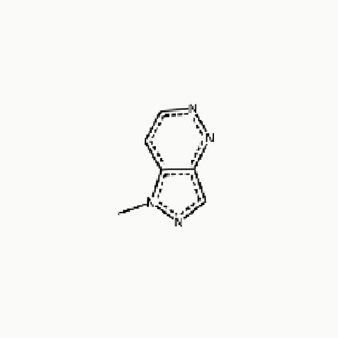 Cn1ncc2nnccc21